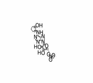 O=[N+]([O-])OC[C@H]1O[C@@H](n2cnc3c(N[C@@H]4CCC[C@H]4O)ncnc32)[C@H](O)[C@@H]1O